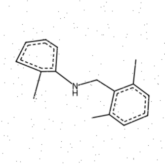 [CH2]c1ccccc1NCc1c(C)cccc1C